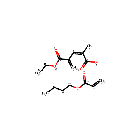 C=C(C=C(C)C(=O)O)C(=O)OCC.C=CC(=O)OCCCC